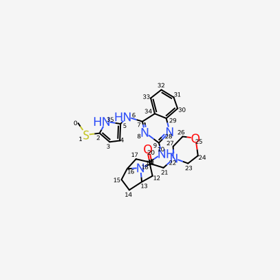 CSc1ccc(Nc2nc(NC3CC4CCC(C3)N4C(=O)CN3CCOCC3)nc3ccccc23)[nH]1